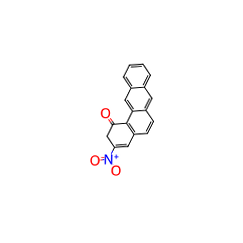 O=C1CC([N+](=O)[O-])=Cc2ccc3cc4ccccc4cc3c21